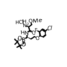 COCC(N)C(=O)N[C@@H](CCOc1ccc(Cl)cc1F)B1OC(C)(C)C(C)(C)O1.Cl